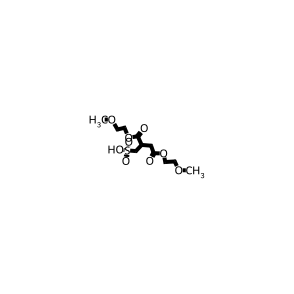 COCCOC(=O)CC(CS(=O)(=O)O)C(=O)OCCOC